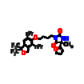 CCCc1cc2c(c(CCC)c1OCCCCN1C(=O)NC(C)(c3ccco3)C1=O)COC2(C(F)(F)F)C(F)(F)F